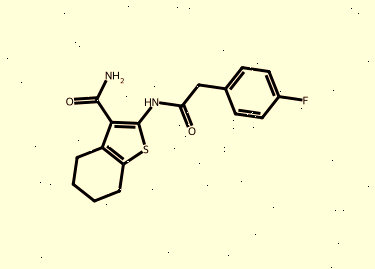 NC(=O)c1c(NC(=O)Cc2ccc(F)cc2)sc2c1CCCC2